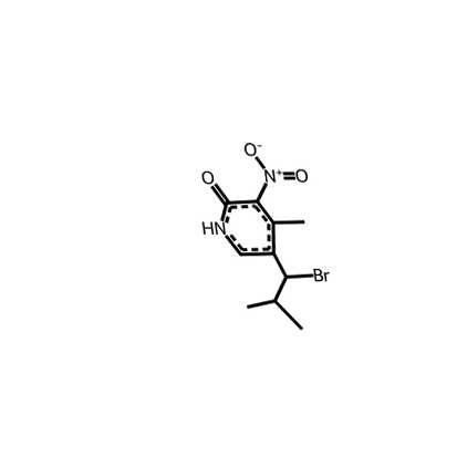 Cc1c(C(Br)C(C)C)c[nH]c(=O)c1[N+](=O)[O-]